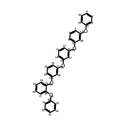 c1ccc(Oc2cccc(Oc3cccc(Oc4cccc(Oc5ccccc5Oc5ccccc5)c4)c3)c2)cc1